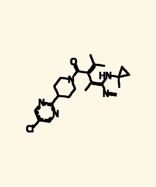 C=N/C(NC1(C)CC1)=C(\C)C(C(=O)N1CCC(c2ncc(Cl)cn2)CC1)=C(C)C